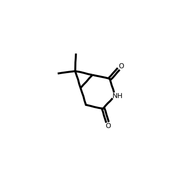 CC1(C)C2CC(=O)NC(=O)C21